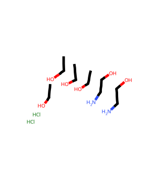 CCO.CCO.CCO.CCO.Cl.Cl.NCCO.NCCO